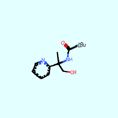 CC(C)(C)C(=O)NC(C)(CO)c1ccccn1